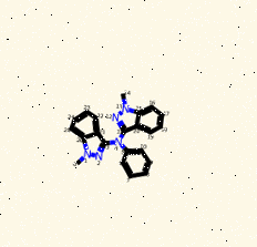 Cn1nc(N(c2[c]cccc2)c2nn(C)c3ccccc23)c2ccccc21